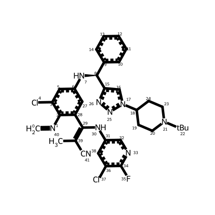 C=Nc1c(Cl)cc(N[C@@H](c2ccccc2)c2cn(C3CCN(C(C)(C)C)CC3)nn2)cc1/C(Nc1cnc(F)c(Cl)c1)=C(\C)C#N